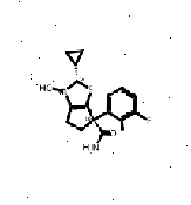 Cc1c(F)cccc1[C@]1(C(N)=O)CCC2=C1S[C@@H](C1CC1)N2O